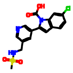 CS(=O)(=O)NCc1cncc(-c2cc3ccc(Cl)cc3n2C(=O)O)c1